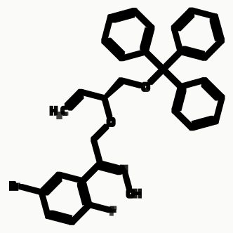 C=C[C@@H](COC(c1ccccc1)(c1ccccc1)c1ccccc1)OCC(=NO)c1cc(Br)ccc1F